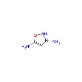 NC1=CN(N)NO1